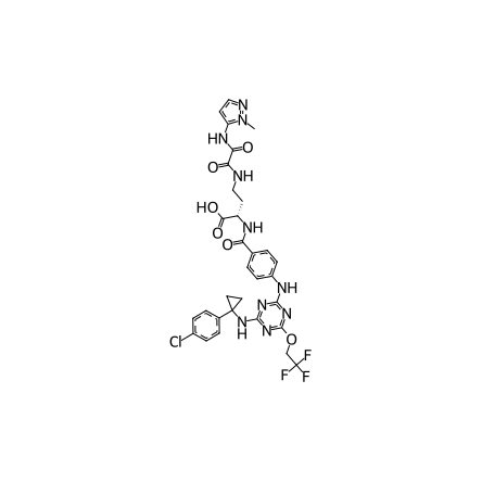 Cn1nccc1NC(=O)C(=O)NCC[C@H](NC(=O)c1ccc(Nc2nc(NC3(c4ccc(Cl)cc4)CC3)nc(OCC(F)(F)F)n2)cc1)C(=O)O